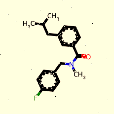 CC(C)Cc1cccc(C(=O)N(C)Cc2ccc(F)cc2)c1